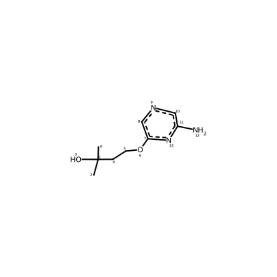 CC(C)(O)CCOc1cncc(N)n1